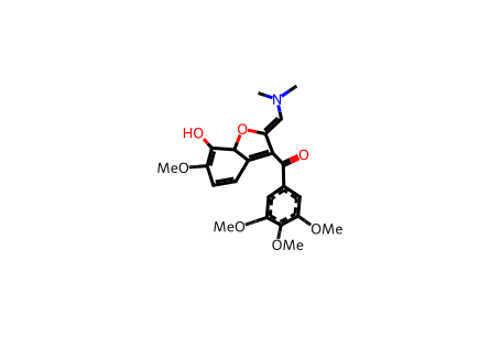 COC1=C(O)C2OC(=CN(C)C)C(C(=O)c3cc(OC)c(OC)c(OC)c3)=C2C=C1